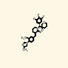 CC1CN(c2ccc(/C=C3\CCCN4C3=NOC3(CCCOC3)[C@@H]4c3cc(F)c(F)c(F)c3)cc2[SiH3])C=N1